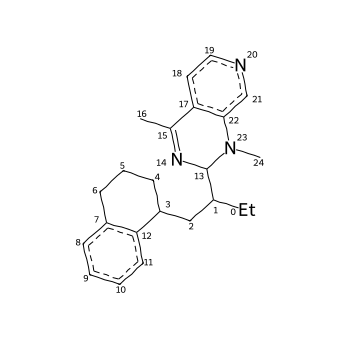 CCC(CC1CCCc2ccccc21)C1N=C(C)c2ccncc2N1C